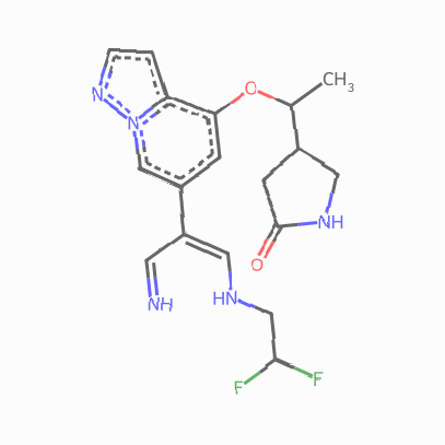 CC(Oc1cc(/C(C=N)=C/NCC(F)F)cn2nccc12)C1CNC(=O)C1